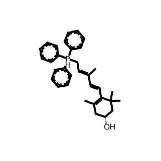 CC1=C(/C=C/C(C)=C/C[PH](c2ccccc2)(c2ccccc2)c2ccccc2)C(C)(C)C[C@H](O)C1